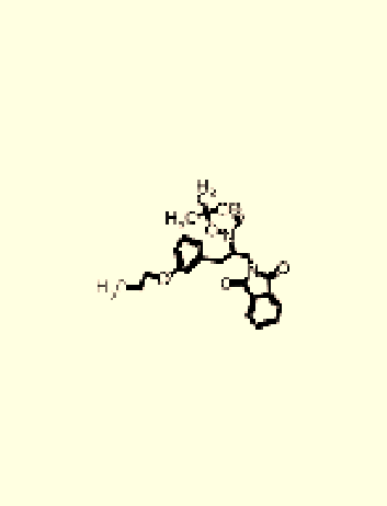 CCCOc1cccc(CC(CN2C(=O)c3ccccc3C2=O)N(C=O)OC(C)(C)C)c1